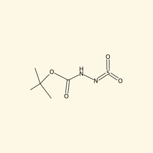 CC(C)(C)OC(=O)NN=S(=O)=O